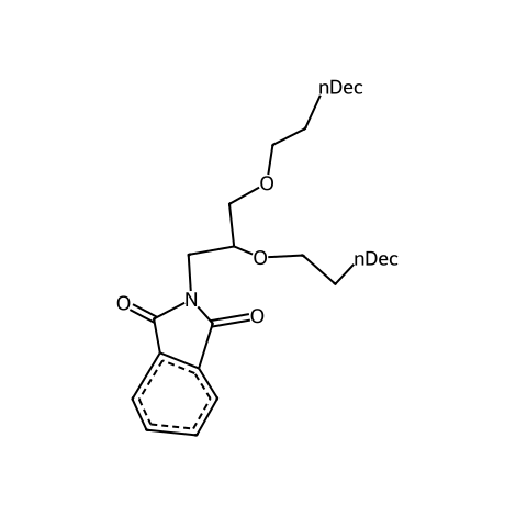 CCCCCCCCCCCCOCC(CN1C(=O)c2ccccc2C1=O)OCCCCCCCCCCCC